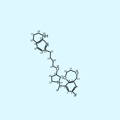 CC(c1cc(F)cc2c1OCCOC2)N1CCC(OCCCCc2ccc3c(n2)NCCC3)C1